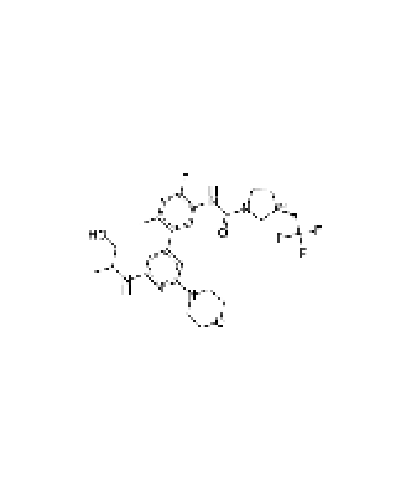 Cc1cc(F)c(NC(=O)N2CC[C@@H](CC(F)(F)F)C2)cc1-c1cc(NC(C)CO)nc(N2CCOCC2)c1